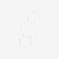 c1cnc2c(c1)CCc1ccncc1CC2